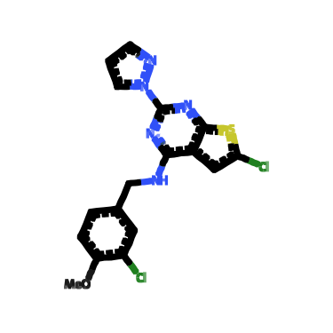 COc1ccc(CNc2nc(-n3cccn3)nc3sc(Cl)cc23)cc1Cl